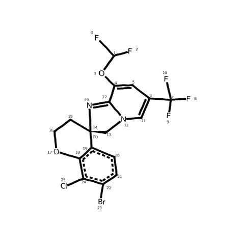 FC(F)OC1=CC(C(F)(F)F)=CN2C[C@@]3(CCOc4c3ccc(Br)c4Cl)N=C12